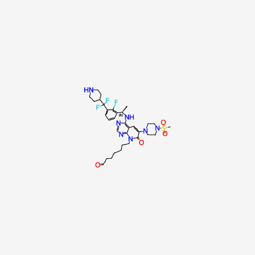 C[C@@H](Nc1ncnc2c1cc(N1CCN(S(C)(=O)=O)CC1)c(=O)n2CCCCCCC=O)c1cccc(C(F)(F)C2CCNCC2)c1F